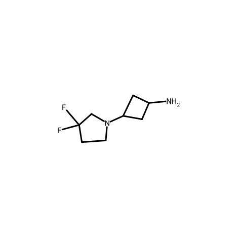 NC1CC(N2CCC(F)(F)C2)C1